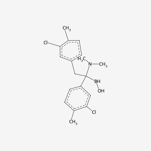 Cc1ccc(CC(BO)(c2ccc(C)c(Cl)c2)N(C)C)cc1Cl